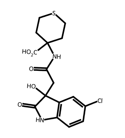 O=C(CC1(O)C(=O)Nc2ccc(Cl)cc21)NC1(C(=O)O)CCSCC1